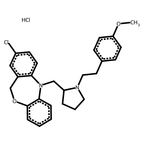 COc1ccc(CCN2CCCC2CN2c3ccc(Cl)cc3COc3ccccc32)cc1.Cl